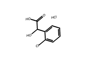 Cl.O=C(O)C(O)c1ccccc1Cl